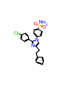 NS(=O)(=O)c1ccc(-n2cc(CCc3ccccc3)nc2-c2ccc(Cl)cc2)cc1